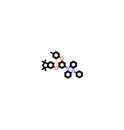 Cc1ccc2c(c1)B1c3cc4c(cc3Oc3cc(N5c6ccccc6N(c6ccccc6)c6ccccc65)cc(c31)O2)C(C)(C)CC4(C)C